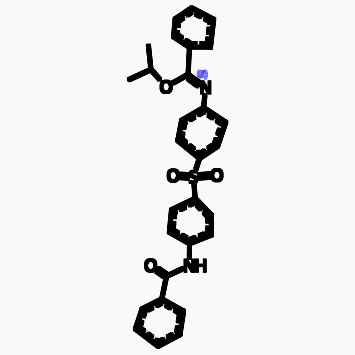 CC(C)O/C(=N\c1ccc(S(=O)(=O)c2ccc(NC(=O)c3ccccc3)cc2)cc1)c1ccccc1